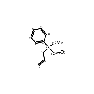 C=CC[Si](OC)(OCC)c1ccccc1